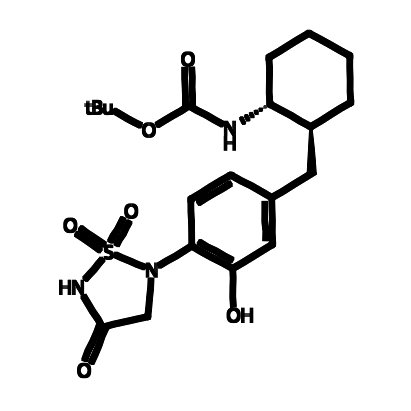 CC(C)(C)OC(=O)N[C@@H]1CCCC[C@H]1Cc1ccc(N2CC(=O)NS2(=O)=O)c(O)c1